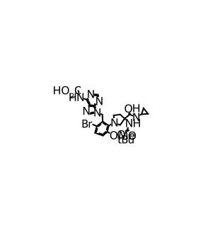 COc1ccc(Br)c(Cn2cnc3c(NC(=O)O)ncnc32)c1N1CCC(NC(=O)OC(C)(C)C)(C(=O)NC2CC2)C1